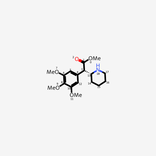 COC(=O)C(c1cc(OC)c(OC)c(OC)c1)[C@H]1CCCCN1